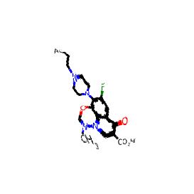 CC(=O)CCN1CCN(c2c(F)cc3c(=O)c(C(=O)O)cn4c3c2OCN4C)CC1